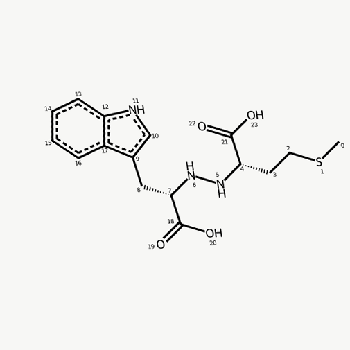 CSCC[C@H](NN[C@@H](Cc1c[nH]c2ccccc12)C(=O)O)C(=O)O